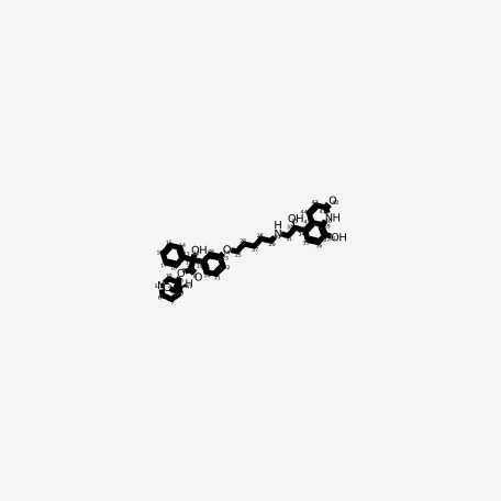 O=C(O[C@H]1CN2CCC1CC2)C(O)(c1ccccc1)c1cccc(OCCCCCNC[C@H](O)c2ccc(O)c3[nH]c(=O)ccc23)c1